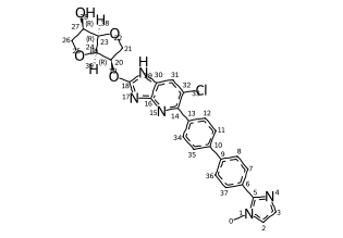 Cn1ccnc1-c1ccc(-c2ccc(-c3nc4nc(O[C@@H]5CO[C@H]6[C@@H]5OC[C@H]6O)[nH]c4cc3Cl)cc2)cc1